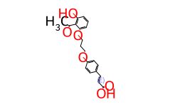 CC(=O)c1c(O)cccc1OCCCOc1ccc(/C=C/C(=O)O)cc1